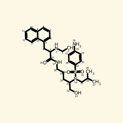 CCNC(Cc1cccc2ccccc12)C(=O)NCCCC(CO)N(CC(C)C)S(=O)(=O)c1ccc(N)cc1